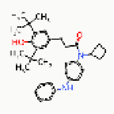 CC(C)(C)c1cc(CCC(=O)N(c2ccc(Nc3ccccc3)cc2)C2CCC2)cc(C(C)(C)C)c1O